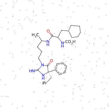 CC(C)C[C@]1(c2ccccc2)NC(=N)N(CCCC(C)NC(=O)C(CC2CCCCC2)NC(=O)O)C1=O